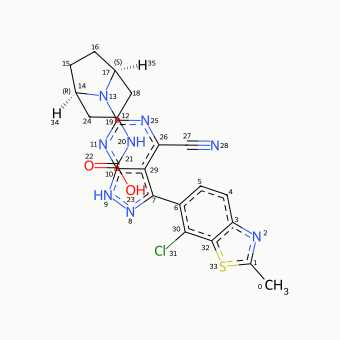 Cc1nc2ccc(-c3n[nH]c4nc(N5[C@@H]6CC[C@H]5CC(NC(=O)O)C6)nc(C#N)c34)c(Cl)c2s1